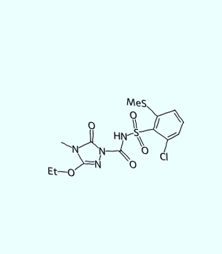 CCOc1nn(C(=O)NS(=O)(=O)c2c(Cl)cccc2SC)c(=O)n1C